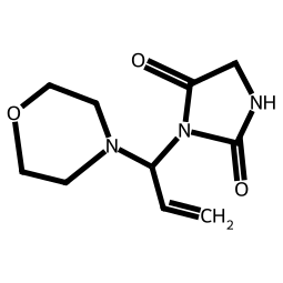 C=CC(N1CCOCC1)N1C(=O)CNC1=O